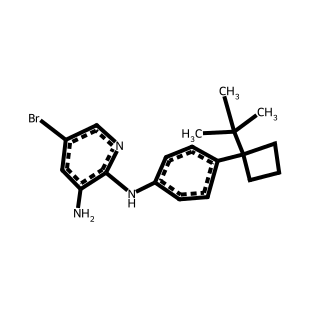 CC(C)(C)C1(c2ccc(Nc3ncc(Br)cc3N)cc2)CCC1